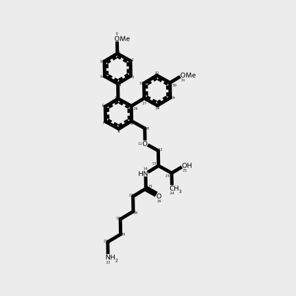 COc1ccc(-c2cccc(COCC(NC(=O)CCCCCN)C(C)O)c2-c2ccc(OC)cc2)cc1